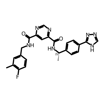 Cc1cc(CNC(=O)c2cc(C(=O)N[C@@H](C)c3ccc(-c4nnc[nH]4)cc3)ncn2)ccc1F